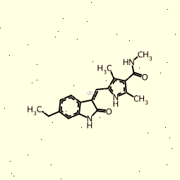 CCc1ccc2c(c1)NC(=O)/C2=C\c1[nH]c(C)c(C(=O)NC)c1C